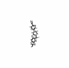 Cc1nc2nc([C@H](C)N3CCN(c4cnc(C#N)cn4)CC3)c(F)cc2s1